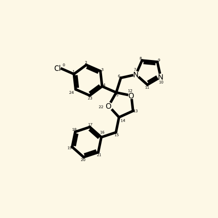 Clc1ccc(C2(Cn3ccnc3)OCC(Cc3ccccc3)O2)cc1